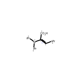 CCC/C=C(\C(=O)O)N(C(C)C)C(C)C